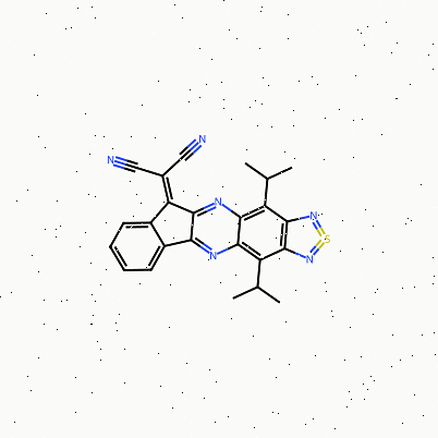 CC(C)c1c2c(c(C(C)C)c3nc4c(nc13)C(=C(C#N)C#N)c1ccccc1-4)N=S=N2